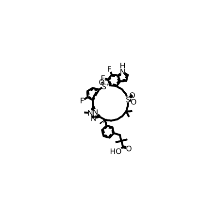 Cn1nc2nc1-c1cc(ccc1F)[S+]([O-])c1c(F)c(F)c3[nH]ccc3c1CCS(=O)(=O)CC(C)(C)CCC[C@]2(C)c1cccc(CC(C)(C)C(=O)O)c1